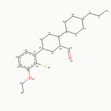 CCCC1CCC(C2CCC(c3cccc(OCC)c3F)CC2C=O)CC1